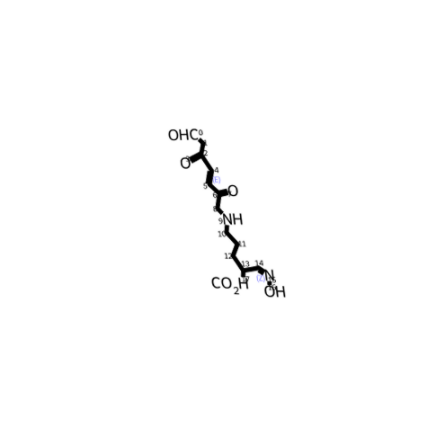 O=CCC(=O)/C=C/C(=O)CNCCCC(/C=N\O)C(=O)O